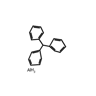 [AlH3].c1ccc(C(c2ccccc2)c2ccccc2)cc1